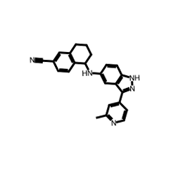 Cc1cc(-c2n[nH]c3ccc(NC4CCCc5cc(C#N)ccc54)cc23)ccn1